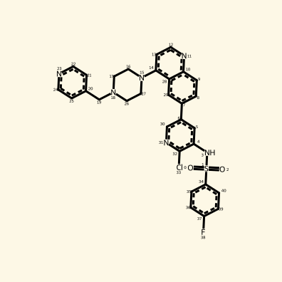 O=S(=O)(Nc1cc(-c2ccc3nccc(N4CCN(Cc5ccncc5)CC4)c3c2)cnc1Cl)c1ccc(F)cc1